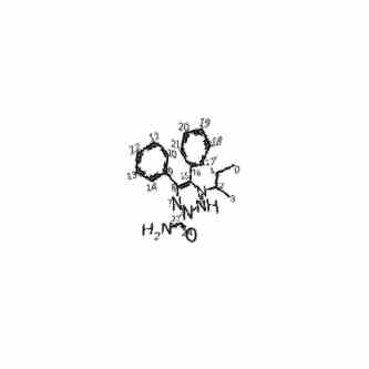 CCC(C)N1NN=NC(c2ccccc2)=C1c1ccccc1.NC=O